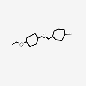 CCOC1CCC(OCC2CCCC(C)CC2)CC1